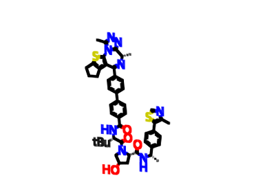 Cc1ncsc1-c1ccc([C@H](C)NC(=O)[C@@H]2C[C@@H](O)CN2C(=O)[C@@H](NC(=O)c2ccc(-c3ccc(C4=N[C@@H](C)c5nnc(C)n5-c5sc6c(c54)CCC6)cc3)cc2)C(C)(C)C)cc1